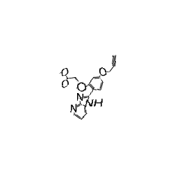 C#CCOc1ccc(-c2nc3ncccc3[nH]2)c(OCC(=O)OC)c1